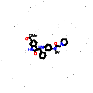 COC(=O)c1ccc2c(c1)NC(=O)C2=C(Nc1ccc(N(C(=O)CN2CCCCC2)C(C)C)cc1)c1ccccc1